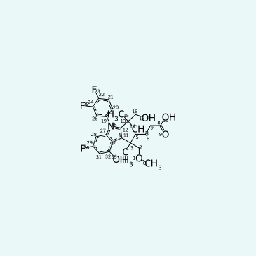 COCC(C)(CCCC(=O)O)c1c(C(C)(C)CO)n(-c2ccc(F)c(F)c2)c2cc(F)cc(O)c12